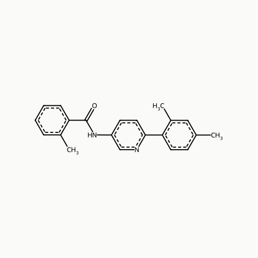 Cc1ccc(-c2ccc(NC(=O)c3ccccc3C)cn2)c(C)c1